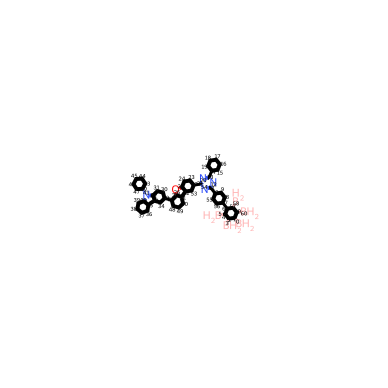 Bc1c(B)c(B)c(-c2ccc(-c3nc(-c4ccccc4)nc(-c4ccc5oc6c(-c7ccc8c(c7)c7ccccc7n8-c7ccccc7)cccc6c5c4)n3)cc2)c(B)c1B